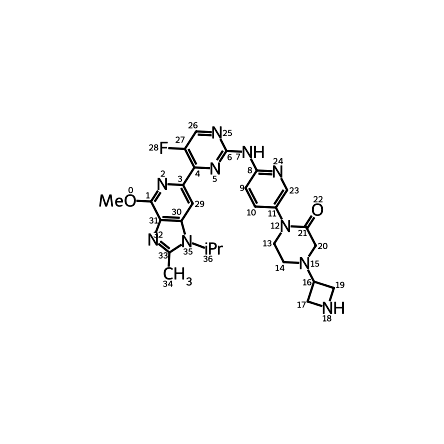 COc1nc(-c2nc(Nc3ccc(N4CCN(C5CNC5)CC4=O)cn3)ncc2F)cc2c1nc(C)n2C(C)C